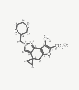 CCOC(=O)c1oc2c(c1C(F)(F)F)-c1nn(CC3COCCO3)cc1C1(CC1)C2